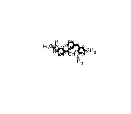 CC1=NC2N=CC(C(C)N3C=C(Cc4cc(C)nc(C)c4)CCC3)=CC2N1